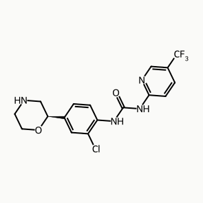 O=C(Nc1ccc(C(F)(F)F)cn1)Nc1ccc([C@@H]2CNCCO2)cc1Cl